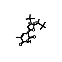 Cc1cn([C@H]2C[C@@H](C(C)(C)C)[C@@H]([C@@H](C)C(C)(C)C)O2)c(=O)[nH]c1=O